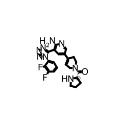 Nc1ncc(C2=CCN(C(=O)[C@@H]3CCCN3)CC2)cc1-c1nnnn1-c1cccc(F)c1F